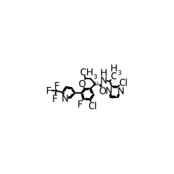 CC1C[C@H](C(=O)NC(C)c2nccnc2Cl)c2cc(Cl)c(F)c(-c3ccc(C(F)(F)F)nc3)c2O1